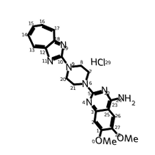 COc1cc2nc(N3CCN(c4nc5cccccc-5n4)CC3)nc(N)c2cc1OC.Cl